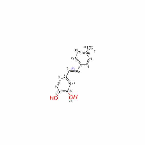 Oc1ccc(/C=C/c2ccc(C(F)(F)F)cc2)cc1O